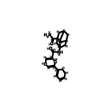 NC(=O)C12CC3CC(CC(NC(=O)C4=COC=C(C5=CC=CCC5)O4)(C3)C1)C2